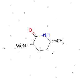 C=C1CCC(NC)C(=O)N1